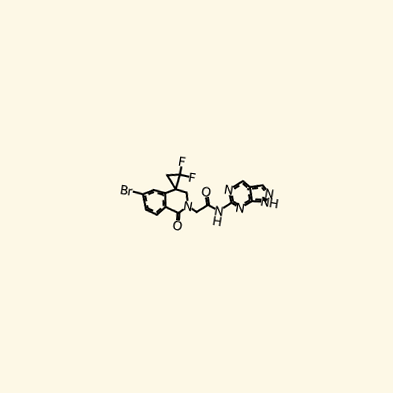 O=C(CN1CC2(CC2(F)F)c2cc(Br)ccc2C1=O)Nc1ncc2cn[nH]c2n1